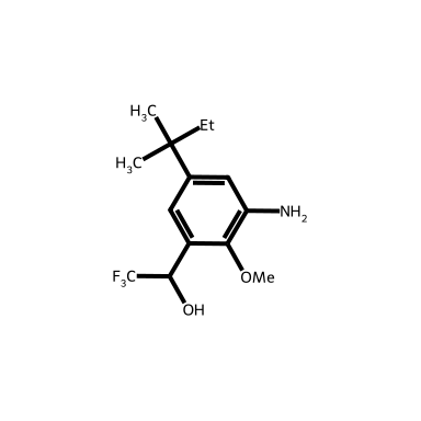 CCC(C)(C)c1cc(N)c(OC)c(C(O)C(F)(F)F)c1